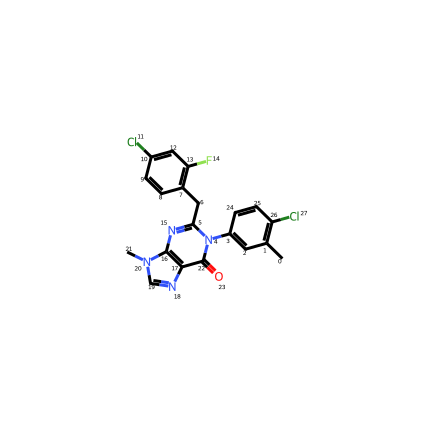 Cc1cc(-n2c(Cc3ccc(Cl)cc3F)nc3c(ncn3C)c2=O)ccc1Cl